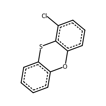 Clc1cccc2c1Sc1ccccc1O2